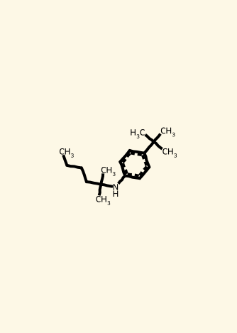 CCCCC(C)(C)Nc1ccc(C(C)(C)C)cc1